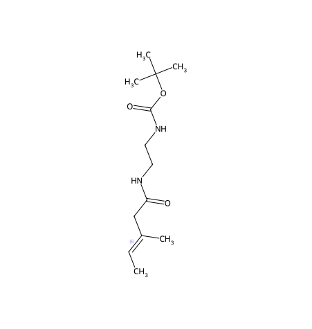 C/C=C(\C)CC(=O)NCCNC(=O)OC(C)(C)C